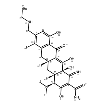 CN(C)[C@@H]1C(O)=C(C(N)=O)C(=N)[C@@]2(O)C(O)=C3C(=O)c4c(O)cc(CNCC(C)(C)C)c(F)c4C[C@H]3C[C@@H]12